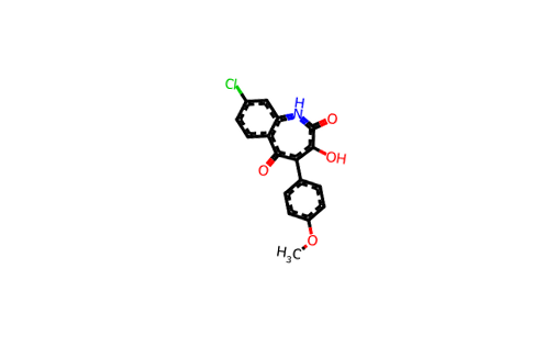 COc1ccc(-c2c(O)c(=O)[nH]c3cc(Cl)ccc3c2=O)cc1